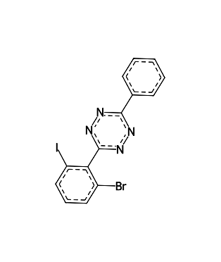 Brc1cccc(I)c1-c1nnc(-c2ccccc2)nn1